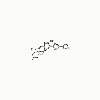 CC1C[C@H]2C/C(=C/c3ncc(-c4ccc(-n5ccnc5)cc4O)nn3)[C@@H](F)[C@@H](C1)N2